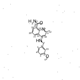 COc1cccc(CNc2cc(C)nc3c(C(N)=O)cccc23)c1